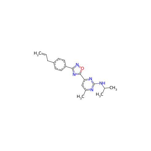 C=CCc1ccc(-c2noc(-c3cc(C)nc(NC(C)C)n3)n2)cc1